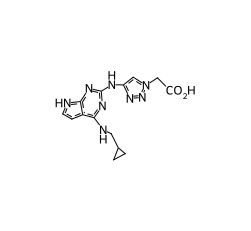 O=C(O)Cn1cc(Nc2nc(NCC3CC3)c3cc[nH]c3n2)nn1